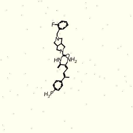 C=C(NC(=O)N1CC2CN(Cc3ccccc3F)CC2C1)/C(N)=C\C=C(/C)c1ccc(P)cc1